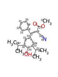 COC(=O)C(C#N)=C(c1ccccc1)c1cc(C(C)C)c(O)c(C(C)C)c1